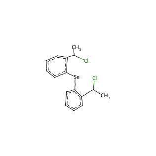 CC(Cl)c1ccccc1[Se]c1ccccc1C(C)Cl